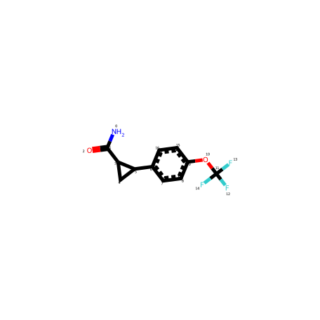 NC(=O)C1CC1c1ccc(OC(F)(F)F)cc1